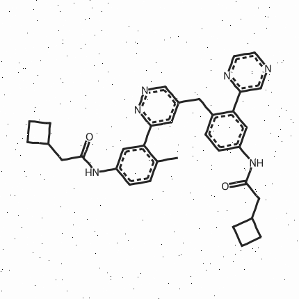 Cc1ccc(NC(=O)CC2CCC2)cc1-c1cc(Cc2ccc(NC(=O)CC3CCC3)cc2-c2cnccn2)cnn1